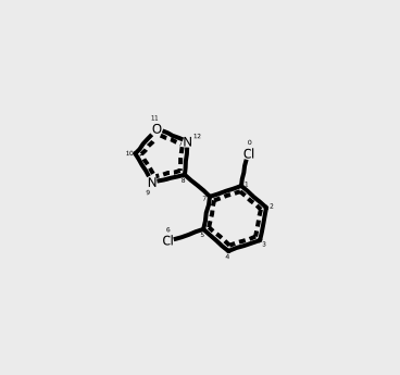 Clc1cccc(Cl)c1-c1ncon1